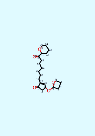 O=C1CC(OC2CCCCO2)C=C1CCCCCCC(=O)C1CCCCO1